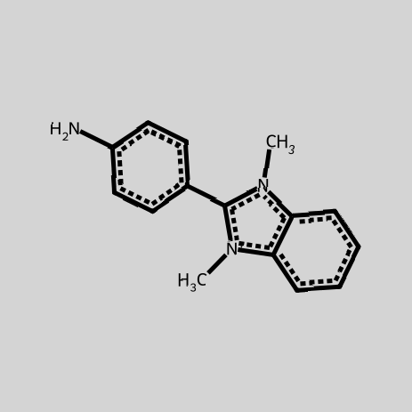 Cn1c(-c2ccc(N)cc2)[n+](C)c2ccccc21